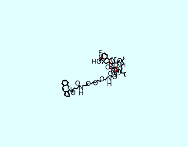 CCCCCCN(C(=O)[C@@H](NC(=O)[C@H]1CCCCN1C)[C@@H](C)CC)[C@H](C[C@@H](OC(=O)NCCOCCOCCOCCNC(=O)CCC(=O)N1Cc2ccccc2/C=C\c2ccccc21)c1nc(C(=O)N[C@@H](Cc2ccc(F)cc2)CC(C)(C)C(=O)O)cs1)C(C)C